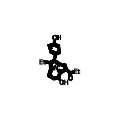 CCC(=O)c1cc2c(-c3ccc(O)cc3)c(CC)c3ccc(O)c1n32